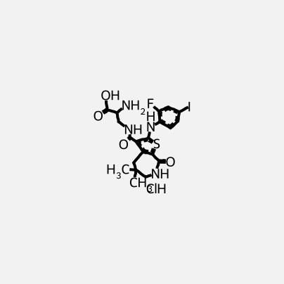 CC1(C)CNC(=O)c2sc(Nc3ccc(I)cc3F)c(C(=O)NCC(N)C(=O)O)c2C1.Cl